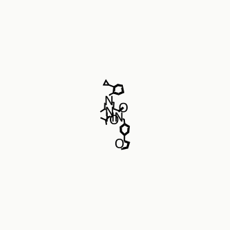 CC(C)C(=O)N1C(C)CN(Cc2ccccc2C2CC2)CC1C(=O)NCc1ccc(-c2ccco2)cc1